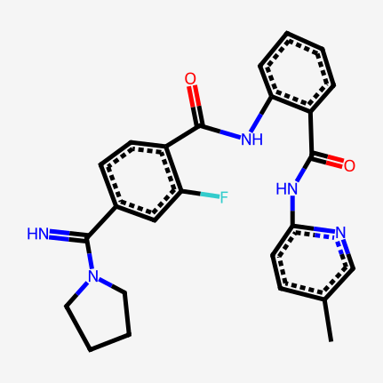 Cc1ccc(NC(=O)c2ccccc2NC(=O)c2ccc(C(=N)N3CCCC3)cc2F)nc1